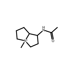 CC(=O)NC1CC[N+]2(C)CCCC12